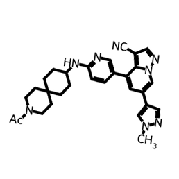 CC(=O)N1CCC2(CCC(Nc3ccc(-c4cc(-c5cnn(C)c5)cn5ncc(C#N)c45)cn3)CC2)CC1